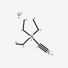 [C-]#C[Si](CC)(CC)CC.[Li+]